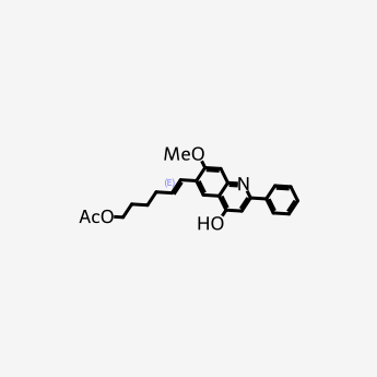 COc1cc2nc(-c3ccccc3)cc(O)c2cc1/C=C/CCCCOC(C)=O